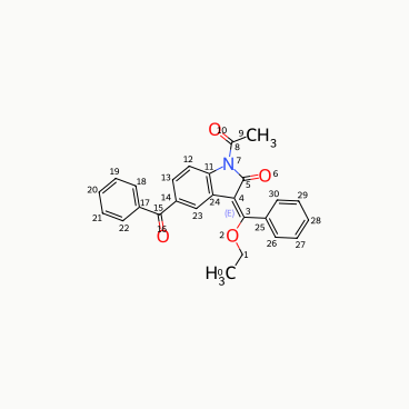 CCO/C(=C1/C(=O)N(C(C)=O)c2ccc(C(=O)c3ccccc3)cc21)c1ccccc1